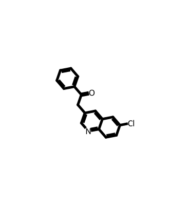 O=C(Cc1cnc2ccc(Cl)cc2c1)c1ccccc1